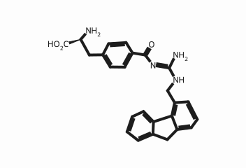 NC(=NC(=O)c1ccc(C[C@H](N)C(=O)O)cc1)NCc1cccc2c1-c1ccccc1C2